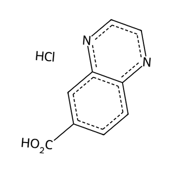 Cl.O=C(O)c1ccc2nccnc2c1